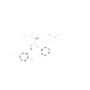 CCON(C)C(=O)N1N=C(c2cc(F)ccc2F)SC1(CCCOP(=O)(O)O)c1ccccc1